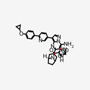 CS(=O)(=O)c1c(C2CC3CC[C@@H](C2)N3C(=O)c2nnc[nH]2)nc2c(-c3ccc(-c4ccc(OC5CC5)cc4)nc3)cnn2c1N